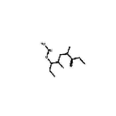 C=C(CC)C(C)CC(C)C(CC)OBO